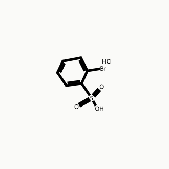 Cl.O=S(=O)(O)c1ccccc1Br